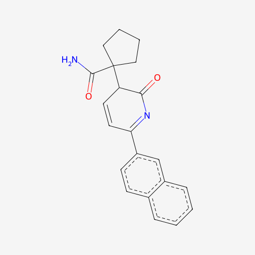 NC(=O)C1(C2C=CC(c3ccc4ccccc4c3)=NC2=O)CCCC1